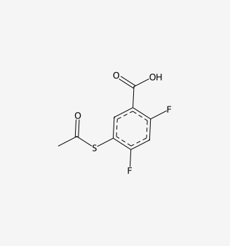 CC(=O)Sc1cc(C(=O)O)c(F)cc1F